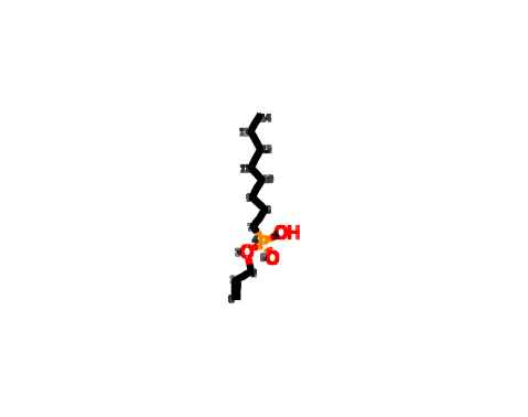 C=CCOP(=O)(O)CCCCCCCC